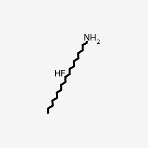 CCCCCCCCCCCCCCCCCCCN.F